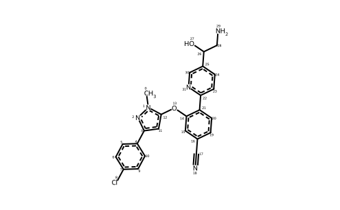 Cn1nc(-c2ccc(Cl)cc2)cc1Oc1cc(C#N)ccc1-c1ccc(C(O)CN)cn1